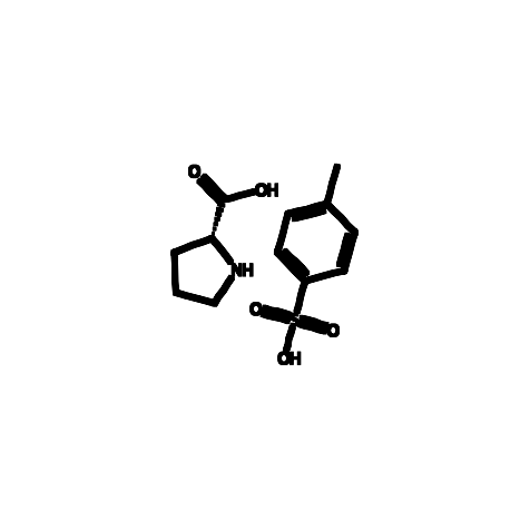 Cc1ccc(S(=O)(=O)O)cc1.O=C(O)[C@H]1CCCN1